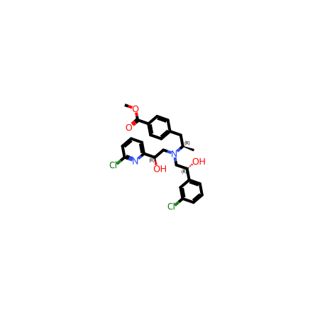 COC(=O)c1ccc(C[C@@H](C)N(C[C@@H](O)c2cccc(Cl)n2)C[C@H](O)c2cccc(Cl)c2)cc1